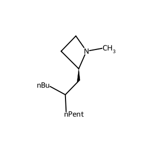 CCCCCC(CCCC)C[C@H]1CCN1C